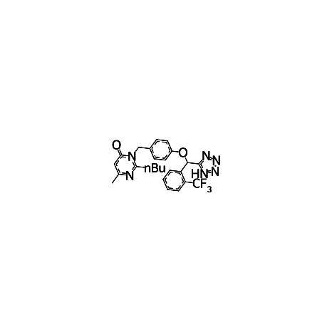 CCCCc1nc(C)cc(=O)n1Cc1ccc(OC(c2nnn[nH]2)c2ccccc2C(F)(F)F)cc1